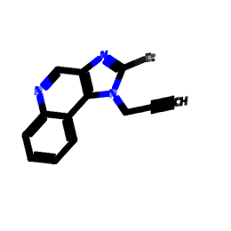 C#CCn1c(CC)nc2cnc3ccccc3c21